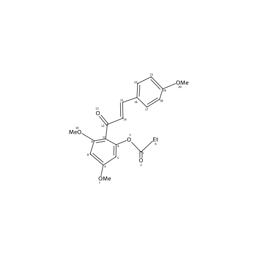 CCC(=O)Oc1cc(OC)cc(OC)c1C(=O)/C=C/c1ccc(OC)cc1